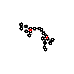 c1cc(N(c2ccc(-c3ccc(-c4ccc5ccc(-c6ccc7c(c6)oc6cccc(-c8ccccc8N(c8ccc(-c9ccc%10ccccc%10c9)cc8)c8cccc(-n9c%10ccccc%10c%10ccccc%109)c8)c67)cc5c4)cc3)cc2)c2ccccc2-c2cccc3oc4ccccc4c23)cc(-n2c3ccccc3c3ccccc32)c1